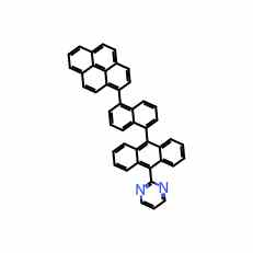 c1cnc(-c2c3ccccc3c(-c3cccc4c(-c5ccc6ccc7cccc8ccc5c6c78)cccc34)c3ccccc23)nc1